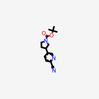 CC(C)(C)OC(=O)N1CCC(c2ccc(C#N)nc2)C1